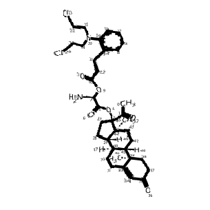 CC(=O)[C@@]1(OC(=O)[C@@H](N)OC(=O)CCc2ccccc2N(CCCl)CCCl)CC[C@H]2[C@@H]3CCC4=CC(=O)CC[C@]4(C)[C@H]3CC[C@@]21C